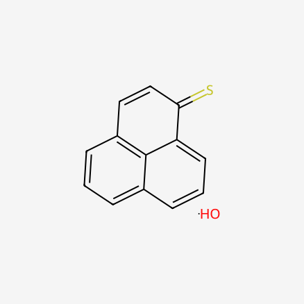 S=C1C=Cc2cccc3cccc1c23.[OH]